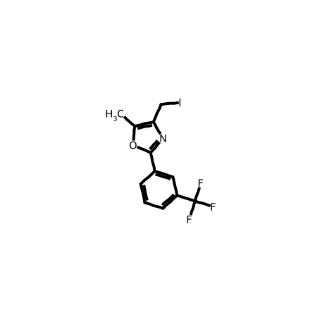 Cc1oc(-c2cccc(C(F)(F)F)c2)nc1CI